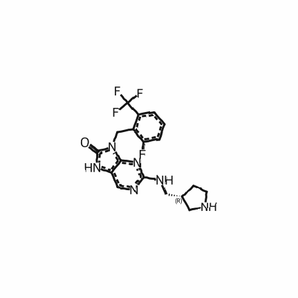 O=c1[nH]c2cnc(NC[C@@H]3CCNC3)nc2n1Cc1c(F)cccc1C(F)(F)F